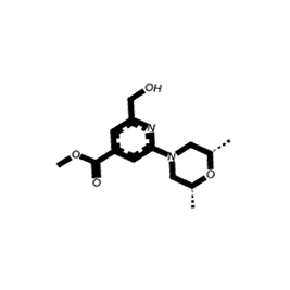 COC(=O)c1cc(CO)nc(N2C[C@@H](C)O[C@@H](C)C2)c1